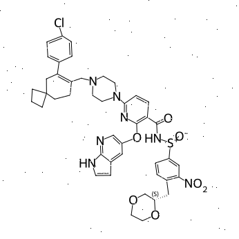 O=C(N[S+]([O-])c1ccc(C[C@H]2COCCO2)c([N+](=O)[O-])c1)c1ccc(N2CCN(CC3=C(c4ccc(Cl)cc4)CC4(CCC4)CC3)CC2)nc1Oc1cnc2[nH]ccc2c1